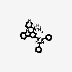 CC1(C)c2cnccc2-n2c3ccccc3c3cc(-c4nc(-c5ccccc5)nc(-c5ccccc5)n4)cc1c32